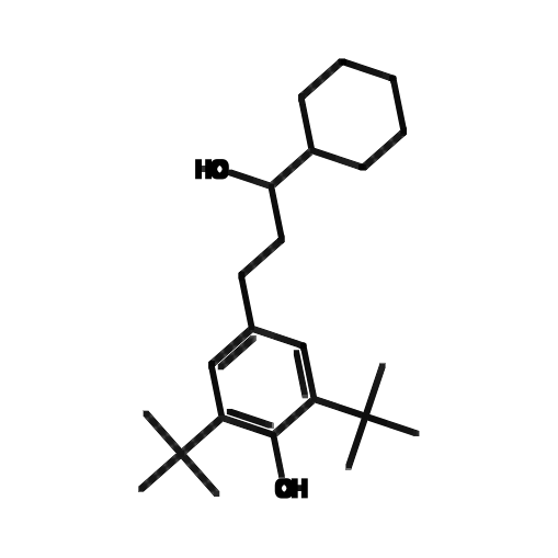 CC(C)(C)c1cc(CCC(O)C2CCCCC2)cc(C(C)(C)C)c1O